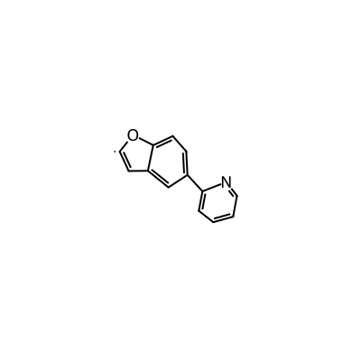 [c]1cc2cc(-c3ccccn3)ccc2o1